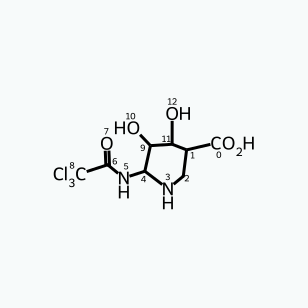 O=C(O)C1CNC(NC(=O)C(Cl)(Cl)Cl)C(O)C1O